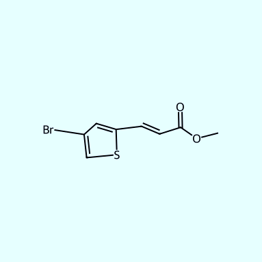 COC(=O)/C=C/c1cc(Br)cs1